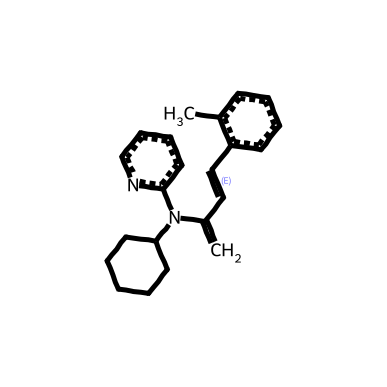 C=C(/C=C/c1ccccc1C)N(c1ccccn1)C1CCCCC1